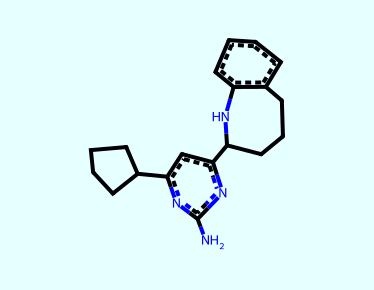 Nc1nc(C2CCCC2)cc(C2CCCc3ccccc3N2)n1